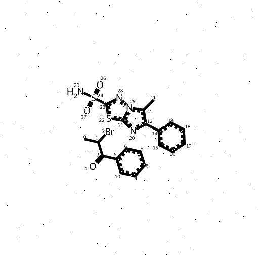 CC(Br)C(=O)c1ccccc1.Cc1c(-c2ccccc2)nc2sc(S(N)(=O)=O)nn12